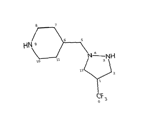 FC(F)(F)C1CNN(CC2CCNCC2)C1